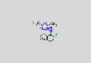 CSCC(c1nc(C)nc(C)n1)c1cccc(F)c1N